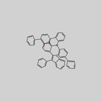 c1ccc(-c2ccc(-c3ccccc3N(c3ccc(-c4ccccc4)cc3)c3ccccc3-c3oc4ccccc4c3-c3ccccc3)cc2)cc1